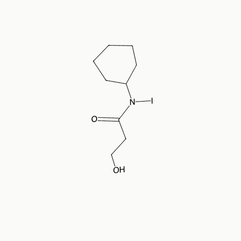 O=C(CCO)N(I)C1CCCCC1